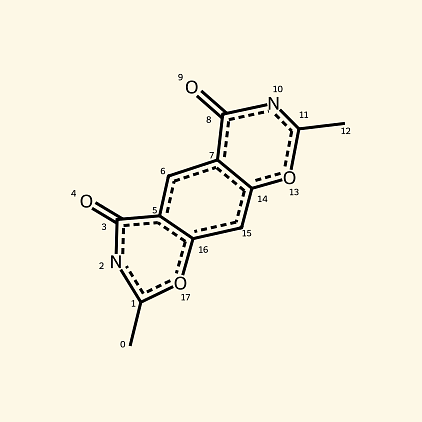 Cc1nc(=O)c2cc3c(=O)nc(C)oc3cc2o1